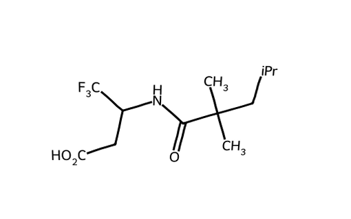 CC(C)CC(C)(C)C(=O)NC(CC(=O)O)C(F)(F)F